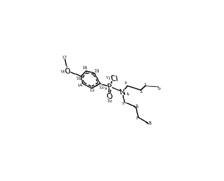 CCCCN(CCCC)P(=O)(Cl)c1ccc(OC)cc1